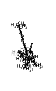 CC(C)[C@H](NC(=O)C(CCC(=O)OC(C)(C)C)NC(=O)[C@H](CC(=O)OC(C)(C)C)NC(=O)Cn1cc(CCCF)nn1)C(=O)NC(CC(=O)OC(C)(C)C)C(=O)N[C@@H](C)C(=O)NCCOCCOCCOCCOCCC(=O)OC(C)(C)C